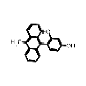 Cc1c2ccccc2c(-c2ccc(O)cc2O)c2ccccc12